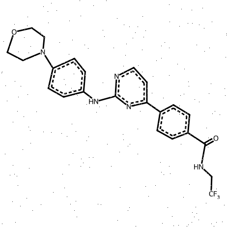 O=C(NCC(F)(F)F)c1ccc(-c2ccnc(Nc3ccc(N4CCOCC4)cc3)n2)cc1